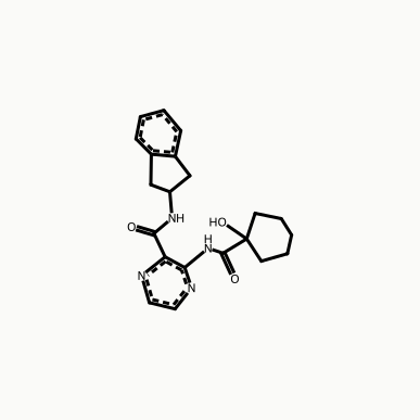 O=C(NC1Cc2ccccc2C1)c1nccnc1NC(=O)C1(O)CCCCC1